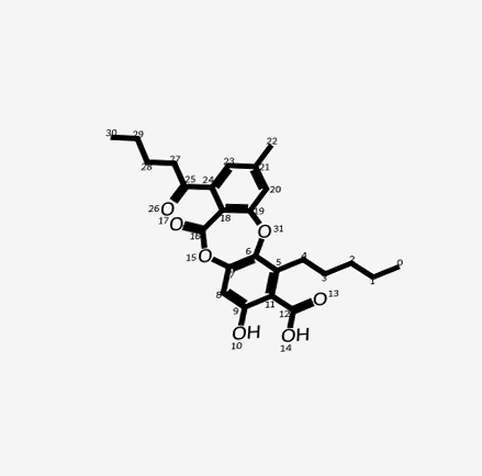 CCCCCc1c2c(cc(O)c1C(=O)O)OC(=O)c1c(cc(C)cc1C(=O)CCCC)O2